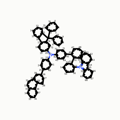 c1ccc(C2(c3ccccc3)c3ccccc3-c3ccc(N(c4ccc(-c5ccc6c(ccc7ccccc76)c5)cc4)c4ccc(-c5ccccc5-c5ccccc5-n5c6ccccc6c6ccccc65)cc4)cc32)cc1